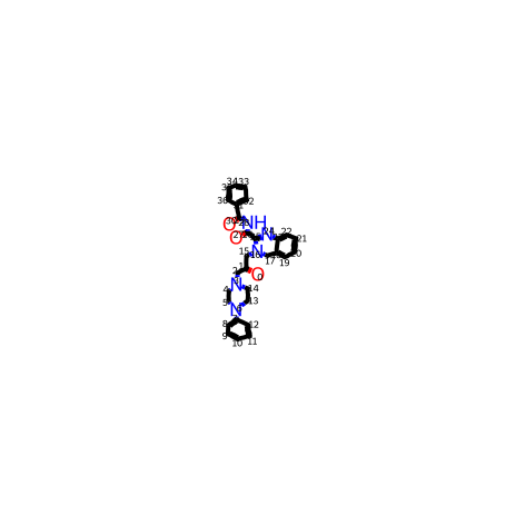 O=C(CN1CCN(c2ccccc2)CC1)CN1Cc2ccccc2N=C1C(=O)NC(=O)c1ccccc1